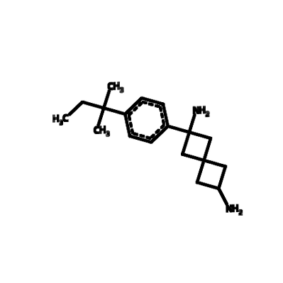 CCC(C)(C)c1ccc(C2(N)CC3(CC(N)C3)C2)cc1